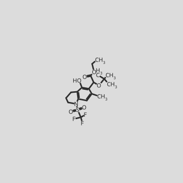 CCOC(=O)C(OC(C)(C)C)c1c(C)cc2c(c1O)CCCN2S(=O)(=O)C(F)(F)F